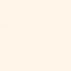 O=CNCCSCC(=O)/C(=C\c1cccc(Cl)c1)C(=O)O